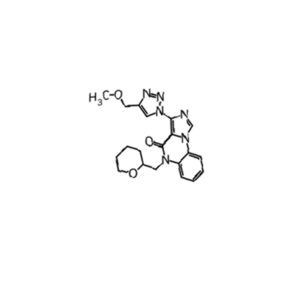 COCc1cn(-c2ncn3c2c(=O)n(CC2CCCCO2)c2ccccc23)nn1